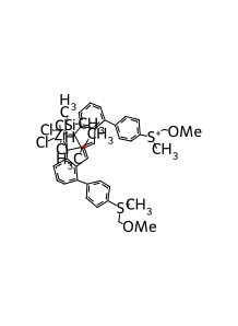 COC[S+](C)c1ccc(-c2cccc3c2C=C(C)[CH]3[Zr]([Cl])([Cl])([Cl])([Cl])([CH]2C(C)=Cc3c(-c4ccc([S+](C)COC)cc4)cccc32)[SiH](C)C)cc1